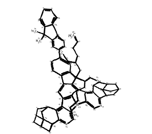 CCCCCC(CC)C1(CC(CC)CCCC)c2cc(-c3ccc4c(c3)C(C)(C)c3ccccc3-4)ccc2-c2cc3c4c5c(ncc4n4c6cnc7c(c6c(c21)c34)C1CC2CC(CC7C2)C1)C1CC2CC3CC5CC321